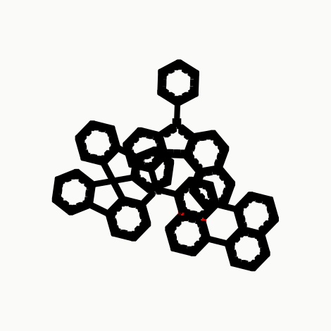 c1ccc(-c2cccc3cccc(-c4ccc(N(c5cccc6c5C5(c7ccccc7-c7ccccc75)c5ccccc5-6)c5cccc6c5c5c7ccccc7ccc5n6-c5ccccc5)cc4)c23)cc1